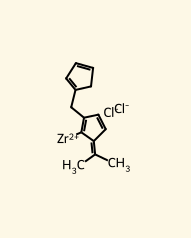 CC(C)=C1C=CC(CC2=CC=CC2)=[C]1[Zr+2].[Cl-].[Cl-]